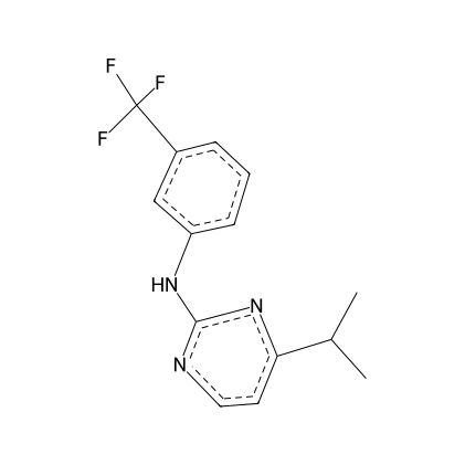 CC(C)c1ccnc(Nc2cccc(C(F)(F)F)c2)n1